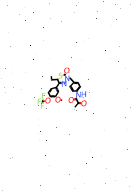 CCC1SC(=O)N(Cc2ccc(NC(=O)C(C)=O)cc2)N=C1c1ccc(OC(F)(F)F)c(OC)c1